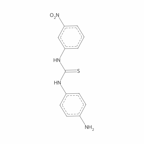 Nc1ccc(NC(=S)Nc2cccc([N+](=O)[O-])c2)cc1